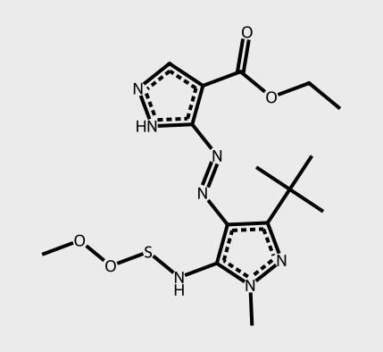 CCOC(=O)c1cn[nH]c1/N=N/c1c(C(C)(C)C)nn(C)c1NSOOC